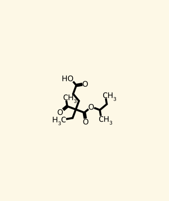 CCC(C)OC(=O)C(CC)(CCC(=O)O)C(C)=O